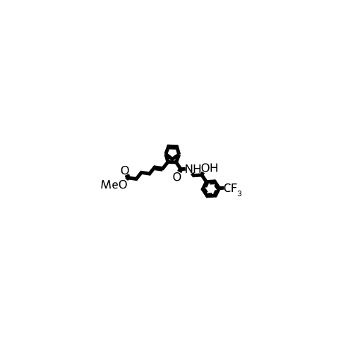 COC(=O)CCCC=CC1C2C=CC(C2)C1C(=O)NCC(O)c1cccc(C(F)(F)F)c1